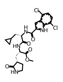 COC(=O)[C@H](C[C@@H]1CCNC1=O)NC(=O)[C@H](CC1CC1)NC(=O)c1cc2c(Cl)ccc(Cl)c2[nH]1